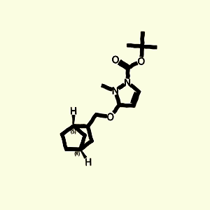 CN1C(OCC2C[C@@H]3CC[C@H]2C3)C=CN1C(=O)OC(C)(C)C